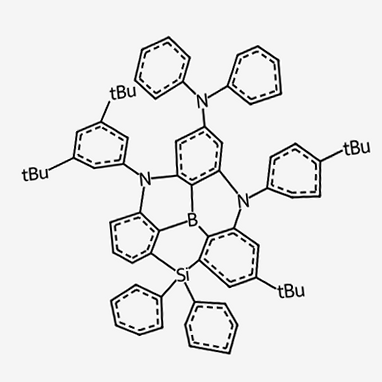 CC(C)(C)c1ccc(N2c3cc(N(c4ccccc4)c4ccccc4)cc4c3B3c5c(cccc5[Si](c5ccccc5)(c5ccccc5)c5cc(C(C)(C)C)cc2c53)N4c2cc(C(C)(C)C)cc(C(C)(C)C)c2)cc1